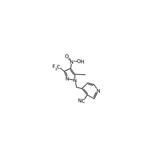 Cc1c([N+](=O)O)c(C(F)(F)F)nn1Cc1ccncc1C#N